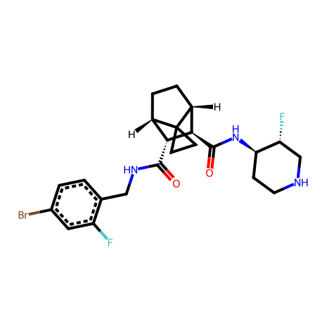 O=C(N[C@@H]1CCNC[C@H]1F)[C@H]1[C@H](C(=O)NCc2ccc(Br)cc2F)[C@@H]2CC[C@H]1C21CC1